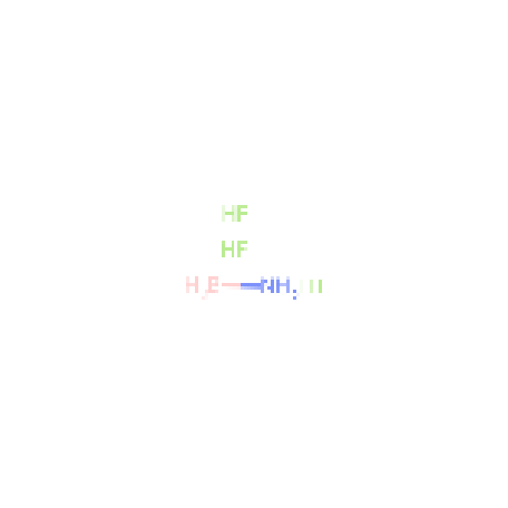 BN.F.F.F